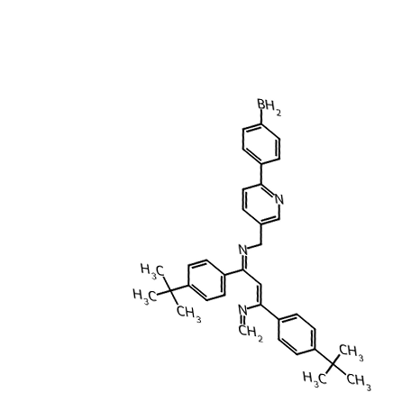 Bc1ccc(-c2ccc(C/N=C(\C=C(/N=C)c3ccc(C(C)(C)C)cc3)c3ccc(C(C)(C)C)cc3)cn2)cc1